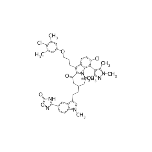 Cc1cc(OCCCc2c3n(c4c(-c5c(C)nn(C)c5C)c(Cl)ccc24)[C@H](C)CC(CCc2cn(C)c4ccc(-c5noc(=O)[nH]5)cc24)CC3=O)cc(C)c1Cl